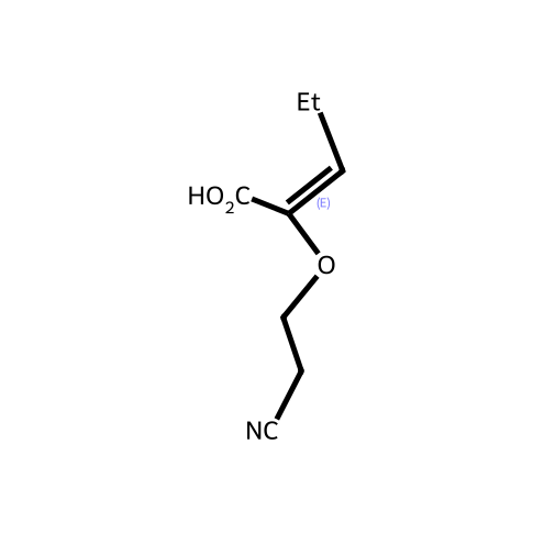 CC/C=C(/OCCC#N)C(=O)O